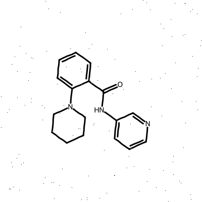 O=C(Nc1cccnc1)c1ccccc1N1CCCCC1